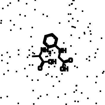 CC(N)C(=O)O.O=C(O)CNc1ccccc1